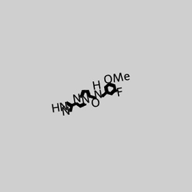 COc1cc(F)cc(CNC(=O)c2ccc3nc(-c4cn[nH]c4)ccn23)c1